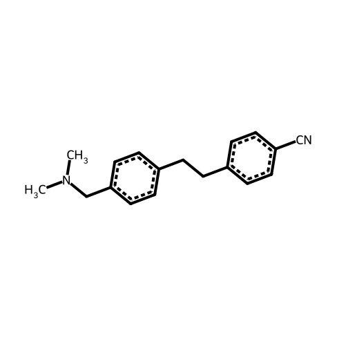 CN(C)Cc1ccc(CCc2ccc(C#N)cc2)cc1